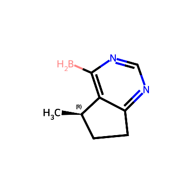 Bc1ncnc2c1[C@H](C)CC2